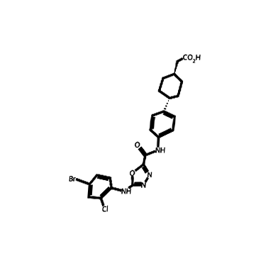 O=C(O)C[C@H]1CC[C@H](c2ccc(NC(=O)c3nnc(Nc4ccc(Br)cc4Cl)o3)cc2)CC1